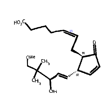 COCC(C)(C)C(O)C=C[C@H]1C=CC(=O)[C@@H]1C/C=C\CCCC(=O)O